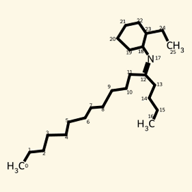 CCCCCCCCCCCCC(CCCC)=NC1CCCCC1CC